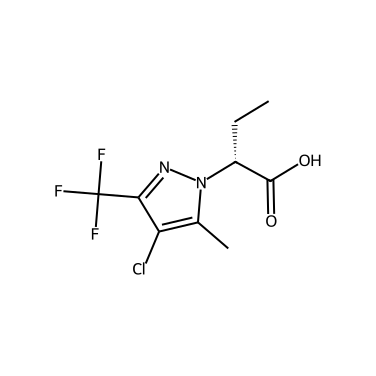 CC[C@H](C(=O)O)n1nc(C(F)(F)F)c(Cl)c1C